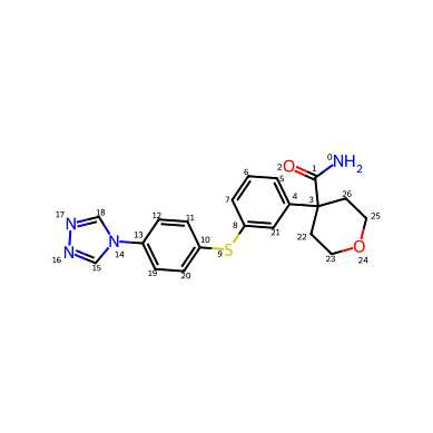 NC(=O)C1(c2cccc(Sc3ccc(-n4cnnc4)cc3)c2)CCOCC1